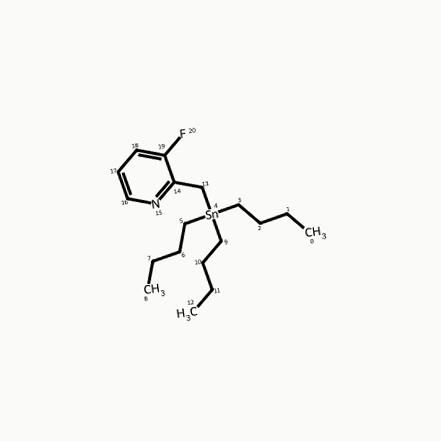 CCC[CH2][Sn]([CH2]CCC)([CH2]CCC)[CH2]c1ncccc1F